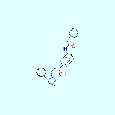 O=C(Cc1ccccc1)NC1C2CC3CC1CC(C(O)CC1c4ccccc4-c4cncn41)(C3)C2